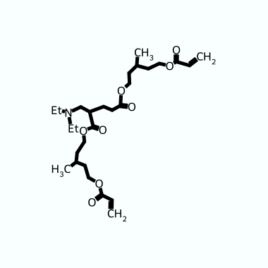 C=CC(=O)OCCC(C)CCOC(=O)CCC(CN(CC)CC)C(=O)OCCC(C)CCOC(=O)C=C